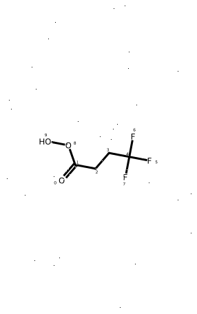 O=C(CCC(F)(F)F)OO